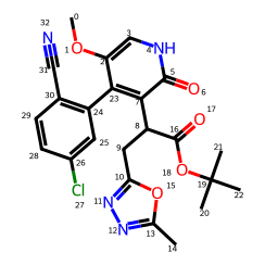 COc1c[nH]c(=O)c(C(Cc2nnc(C)o2)C(=O)OC(C)(C)C)c1-c1cc(Cl)ccc1C#N